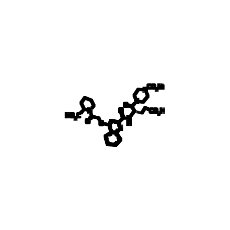 CCOC(=O)N1CCN(C(=O)[C@H](CCC(=O)O)NC(=O)c2cc(OCC(=O)N3CCCC[C@@H]3C(=O)O)c3ccccc3n2)CC1